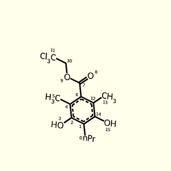 CCCc1c(O)c(C)c(C(=O)OCC(Cl)(Cl)Cl)c(C)c1O